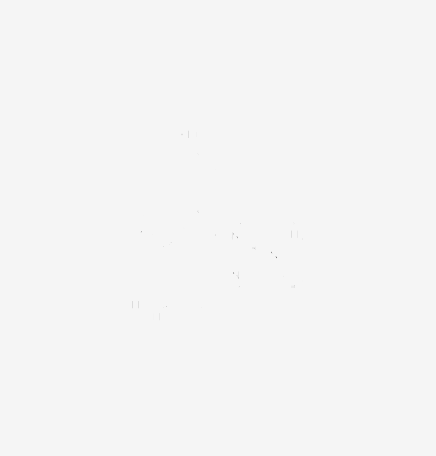 C/C=C1/C(=O)C(c2ccc(CC)cc2C)=C2N=C(N(C)C)N=C2/C1=C/C